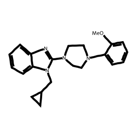 COc1ccccc1N1CCN(c2nc3ccccc3n2CC2CC2)CC1